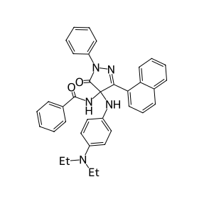 CCN(CC)c1ccc(NC2(NC(=O)c3ccccc3)C(=O)N(c3ccccc3)N=C2c2cccc3ccccc23)cc1